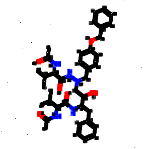 CC(=O)N[C@H](C(=O)NC(Cc1ccccc1)C(O)CN(Cc1ccc(OCc2ccccc2)cc1)NC(=O)[C@@H](NC(C)=O)C(C)C)C(C)C